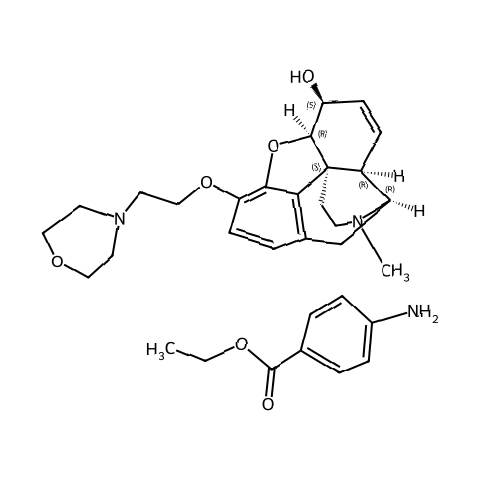 CCOC(=O)c1ccc(N)cc1.CN1CC[C@]23c4c5ccc(OCCN6CCOCC6)c4O[C@H]2[C@@H](O)C=C[C@H]3[C@H]1C5